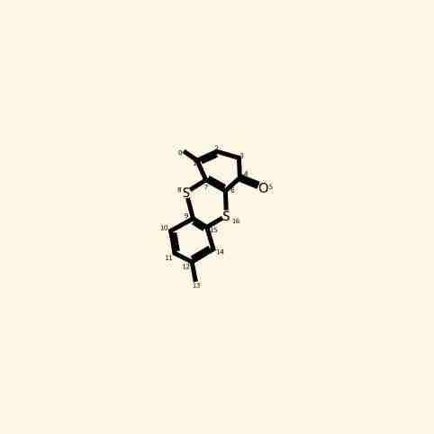 CC1=CCC(=O)C2=C1Sc1ccc(C)cc1S2